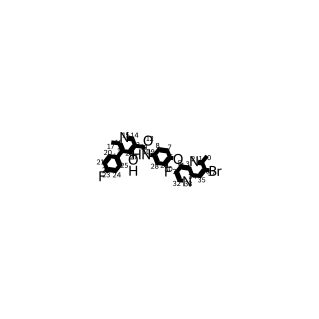 Cc1nc2c(Oc3ccc(NC(=O)c4cnc(C)c(-c5ccc(F)cc5)c4O)cc3F)ccnc2cc1Br